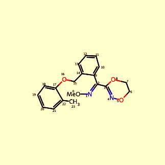 CON=C(C1=NOCCO1)c1ccccc1COc1ccccc1C